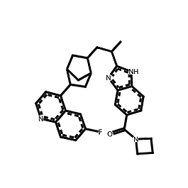 CC(CC1CC2CC1CC2c1ccnc2ccc(F)cc12)c1nc2cc(C(=O)N3CCC3)ccc2[nH]1